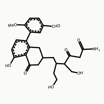 COc1ccc(C=O)cc1-c1ccc(O)c2c1CC(CC(CCO)C(CO)C(=O)CC(N)=O)CC2=O